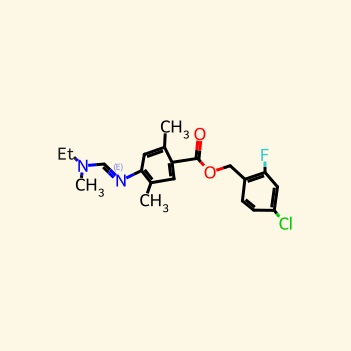 CCN(C)/C=N/c1cc(C)c(C(=O)OCc2ccc(Cl)cc2F)cc1C